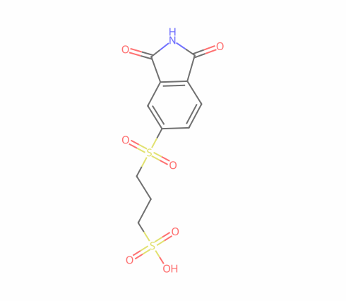 O=C1NC(=O)c2cc(S(=O)(=O)CCCS(=O)(=O)O)ccc21